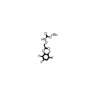 CCCCOC(=O)NOCC(=O)Oc1c(F)c(F)cc(F)c1F